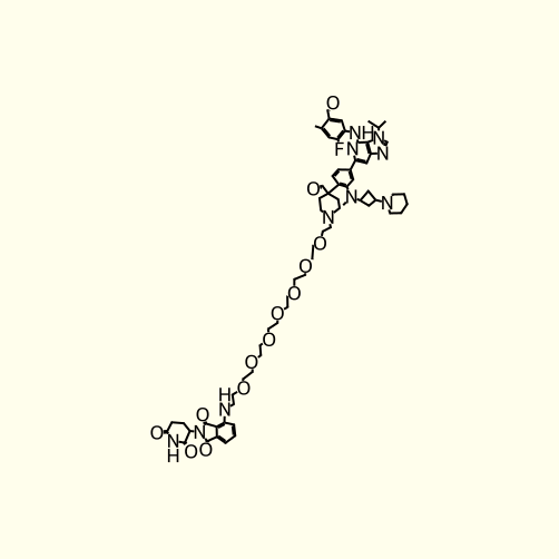 Cc1cc(F)c(Nc2nc(-c3ccc(C4(C=O)CCN(CCOCCOCCOCCOCCOCCOCCOCCNc5cccc6c5C(=O)N(C5CCC(=O)NC5=O)C6=O)CC4)c(N(C)C4CC(N5CCCCC5)C4)c3)cc3ncn(C(C)C)c23)cc1C=O